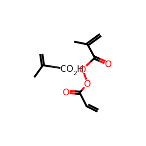 C=C(C)C(=O)O.C=CC(=O)OOC(=O)C(=C)C